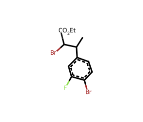 CCOC(=O)C(Br)C(C)c1ccc(Br)c(F)c1